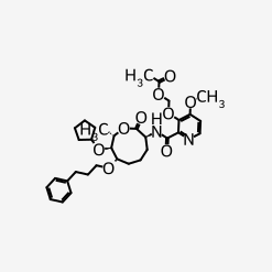 COc1ccnc(C(=O)N[C@H]2CCC[C@H](OCCCc3ccccc3)[C@@H](OC3CCCC3)[C@H](C)OC2=O)c1OCOC(C)=O